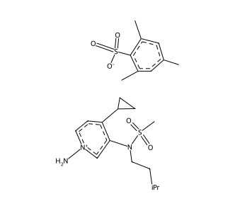 CC(C)CCN(c1c[n+](N)ccc1C1CC1)S(C)(=O)=O.Cc1cc(C)c(S(=O)(=O)[O-])c(C)c1